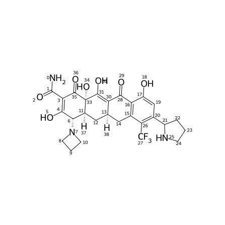 NC(=O)C1=C(O)[C@@H](N2CCC2)[C@@H]2C[C@@H]3Cc4c(c(O)cc(C5CCCN5)c4C(F)(F)F)C(=O)C3=C(O)[C@]2(O)C1=O